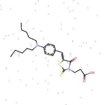 CCCCCN(CCCCC)c1ccc(/C=C2\SC(=S)N(CCC(=O)O)C2=O)cc1